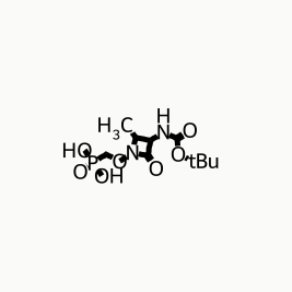 CC1C(NC(=O)OC(C)(C)C)C(=O)N1OCP(=O)(O)O